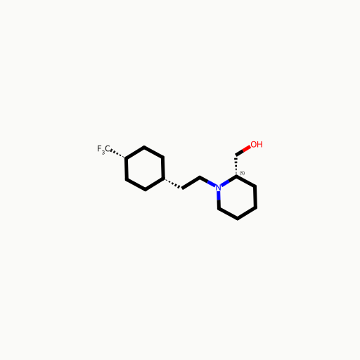 OC[C@@H]1CCCCN1CC[C@H]1CC[C@@H](C(F)(F)F)CC1